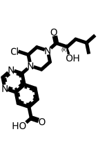 CC(C)C[C@@H](O)C(=O)N1CCN(c2ncnc3cc(C(=O)O)ccc23)C(Cl)C1